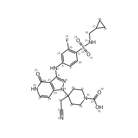 N#CCC1(n2nc(Nc3ccc(S(=O)(=O)NCC4CC4)c(F)c3)c3c(=O)[nH]ccc32)CCN(C(=O)O)CC1